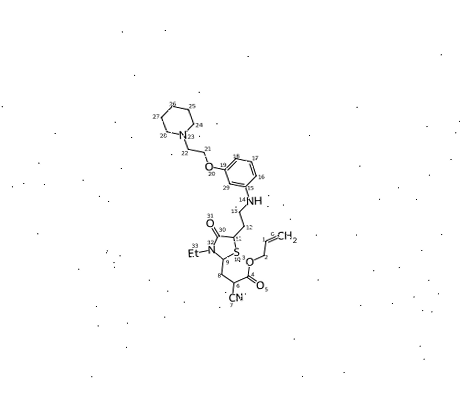 C=CCOC(=O)C(C#N)CC1SC(CCNc2cccc(OCCN3CCCCC3)c2)C(=O)N1CC